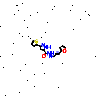 O=C(N/N=C\C=C\c1ccco1)c1cc(-c2cccs2)n[nH]1